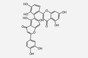 O=c1cc(-c2ccc(O)c(O)c2-c2c(O)cc3oc(-c4ccc(O)c(O)c4)cc(=O)c3c2O)oc2cc(O)cc(O)c12